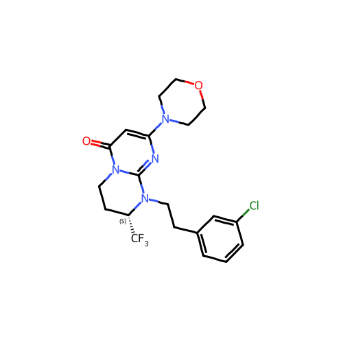 O=c1cc(N2CCOCC2)nc2n1CC[C@@H](C(F)(F)F)N2CCc1cccc(Cl)c1